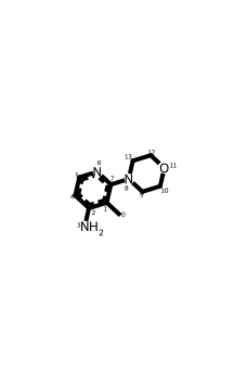 Cc1c(N)ccnc1N1CCOCC1